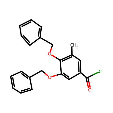 Cc1cc(C(=O)Cl)cc(OCc2ccccc2)c1OCc1ccccc1